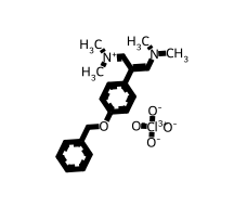 CN(C)C=C(C=[N+](C)C)c1ccc(OCc2ccccc2)cc1.[O-][Cl+3]([O-])([O-])[O-]